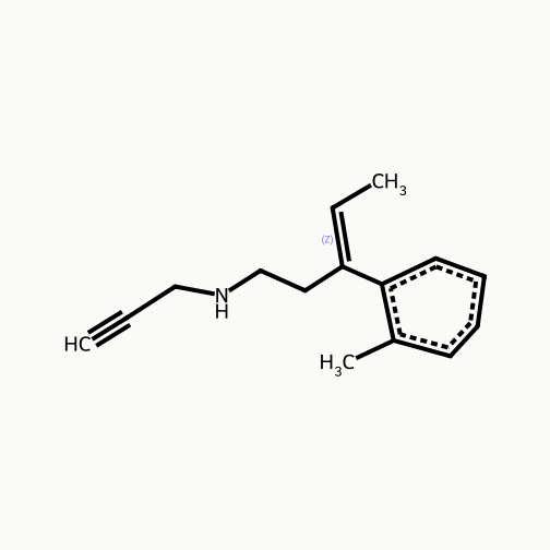 C#CCNCC/C(=C/C)c1ccccc1C